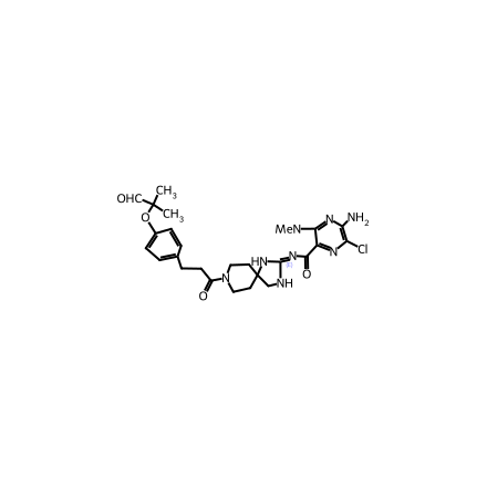 CNc1nc(N)c(Cl)nc1C(=O)/N=C1\NCC2(CCN(C(=O)CCc3ccc(OC(C)(C)C=O)cc3)CC2)N1